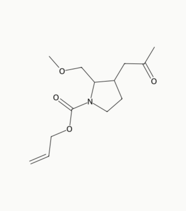 C=CCOC(=O)N1CCC(CC(C)=O)C1COC